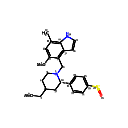 COCC1CCN(Cc2c(OC)cc(C)c3[nH]ccc23)[C@H](c2ccc([S+]=O)cc2)C1